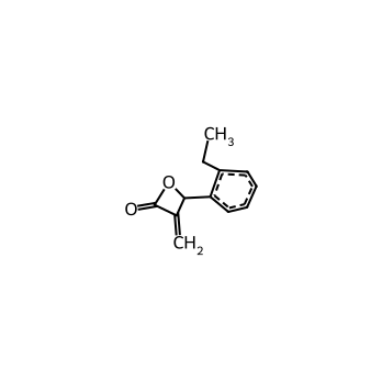 C=C1C(=O)OC1c1ccccc1CC